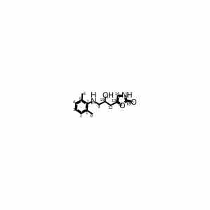 Cc1cccc(C)c1NCC(O)Cc1c[nH]c(=O)o1